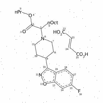 CCCCCCCCC(C(=O)OCCC)N1CCC(c2noc3cc(F)ccc23)CC1.O=C(O)/C=C/C(=O)O